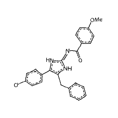 COc1ccc(C(=O)/N=c2\[nH]c(Cc3ccccc3)c(-c3ccc(Cl)cc3)[nH]2)cc1